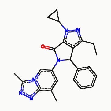 CCc1nn(C2CC2)c2c1C(c1ccccc1)N(c1cc(C)c3nnc(C)n3c1)C2=O